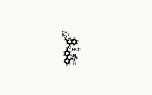 CCOCc1cc(OCc2ccc(-c3ccccc3-c3nnn[nH]3)cc2)c2ccccc2n1.Cl